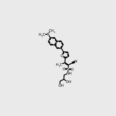 C/C(=C(/C#N)S(=O)(=O)NCC(O)CO)c1ccc(-c2ccc3cc(N(C)C)ccc3c2)o1